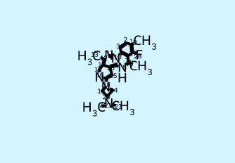 Cc1cccc([C@@H](C)Nc2nnc(C)c3cnc(N4CC(N(C)C)C4)cc23)c1F